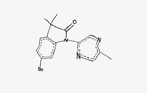 Cc1cnc(N2C(=O)C(C)(C)c3ccc(Br)cc32)cn1